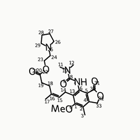 COc1c(C)c2c(c(NC(=O)N(C)C)c1CC=C(C)CCC(=O)OCCN1CCCC1)C(=O)OC2